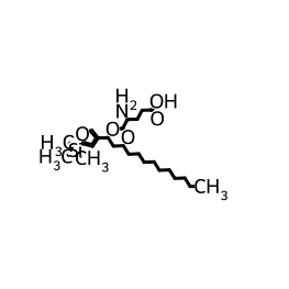 CCCCCCCCCCCCC(OC(=O)C(N)CCC(=O)O)c1coc([Si](C)(C)C)c1